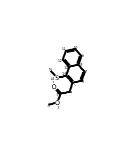 COC(=O)Cc1ccc2ccccc2c1SC